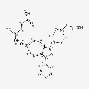 C#CCN1CCN(c2cc(-c3ccccc3)c3ccc(=O)ccn23)CC1.O=C(O)C=CC(=O)O